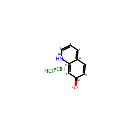 Cl.Cl.O=c1ccc2ccc[nH]c-2c1